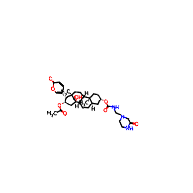 CC(=O)O[C@H]1C[C@]2(O)[C@@H]3CC[C@@H]4C[C@@H](OC(=O)NCCN5CCNC(=O)C5)CC[C@]4(C)[C@H]3CC[C@]2(C)[C@H]1c1ccc(=O)oc1